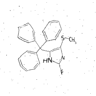 CSc1nc(F)[nH]c1C(c1ccccc1)(c1ccccc1)c1ccccc1